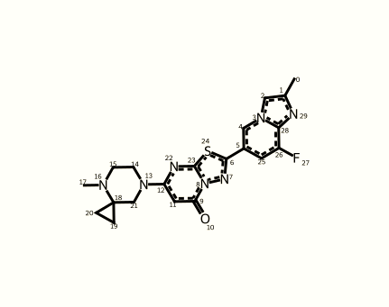 Cc1cn2cc(-c3nn4c(=O)cc(N5CCN(C)C6(CC6)C5)nc4s3)cc(F)c2n1